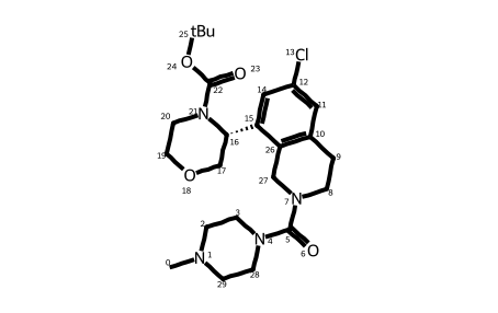 CN1CCN(C(=O)N2CCc3cc(Cl)cc([C@@H]4COCCN4C(=O)OC(C)(C)C)c3C2)CC1